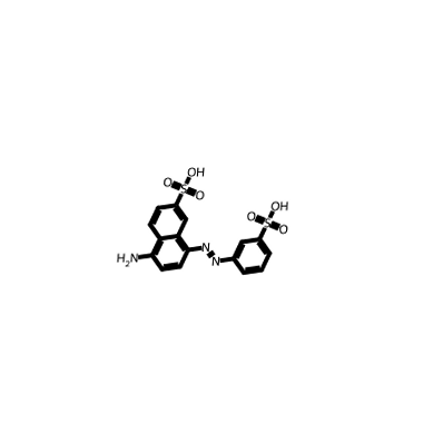 Nc1ccc(N=Nc2cccc(S(=O)(=O)O)c2)c2cc(S(=O)(=O)O)ccc12